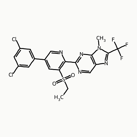 CCS(=O)(=O)c1cc(-c2cc(Cl)cc(Cl)c2)cnc1-c1ncc2nc(C(F)(F)F)n(C)c2n1